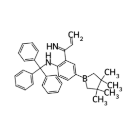 C=CC(=N)c1cc(B2CC(C)(C)C(C)(C)C2)ccc1NC(c1ccccc1)(c1ccccc1)c1ccccc1